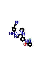 CN(C)CCc1ccc(Nc2nccc(-c3c(-c4cccc(NC(=O)c5ccccc5F)c4)nc4ccccn34)n2)cc1